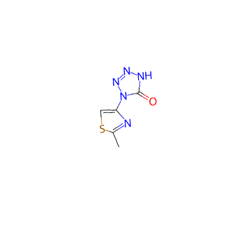 Cc1nc(-n2nn[nH]c2=O)cs1